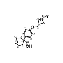 CC(C)N1CC(COc2ccc(C3(CO)CCOCC3)cc2)C1